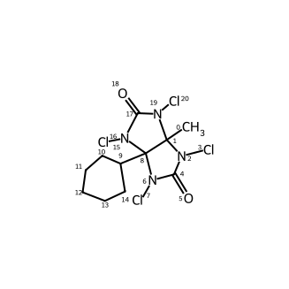 CC12N(Cl)C(=O)N(Cl)C1(C1CCCCC1)N(Cl)C(=O)N2Cl